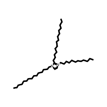 CCCCCCCCCCCCCCCc1n(CCCCCCCCCCCCCCC)cc[n+]1CCCCCCCCCCCC